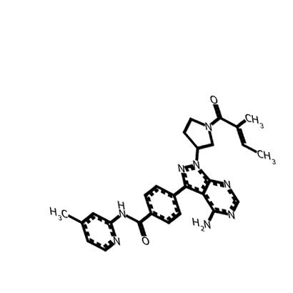 CC=C(C)C(=O)N1CCC(n2nc(-c3ccc(C(=O)Nc4cc(C)ccn4)cc3)c3c(N)ncnc32)C1